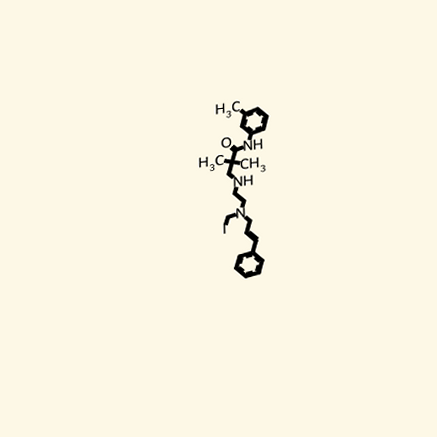 Cc1cccc(NC(=O)C(C)(C)CNCCN(CI)C/C=C/c2ccccc2)c1